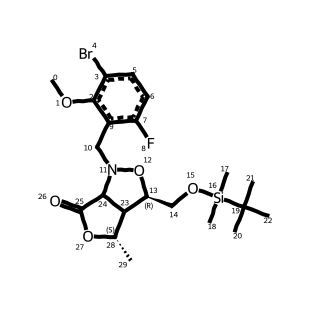 COc1c(Br)ccc(F)c1CN1O[C@@H](CO[Si](C)(C)C(C)(C)C)C2C1C(=O)O[C@H]2C